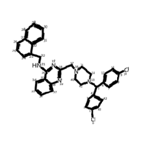 Clc1ccc(C(c2ccc(Cl)cc2)N2CCN(Cc3nc(NCc4cccc5ccccc45)c4ccccc4n3)CC2)cc1